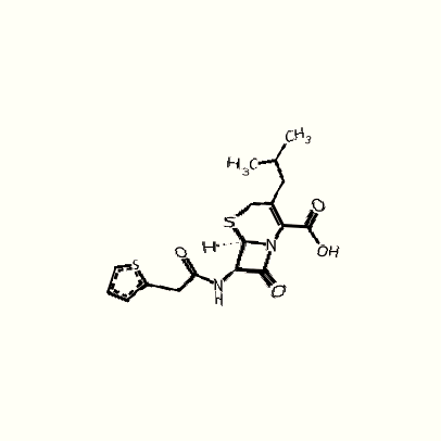 CC(C)CC1=C(C(=O)O)N2C(=O)[C@@H](NC(=O)Cc3cccs3)[C@H]2SC1